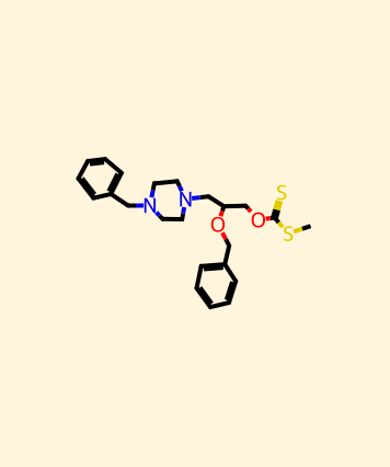 CSC(=S)OCC(CN1CCN(Cc2ccccc2)CC1)OCc1ccccc1